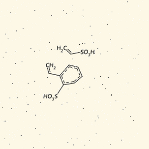 C=CS(=O)(=O)O.C=Cc1ccccc1S(=O)(=O)O